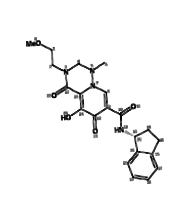 COCCN1CN(C)n2cc(C(=O)N[C@@H]3CCc4ccccc43)c(=O)c(O)c2C1=O